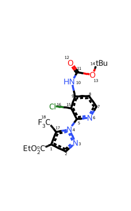 CCOC(=O)c1cnn(-c2nccc(NC(=O)OC(C)(C)C)c2Cl)c1C(F)(F)F